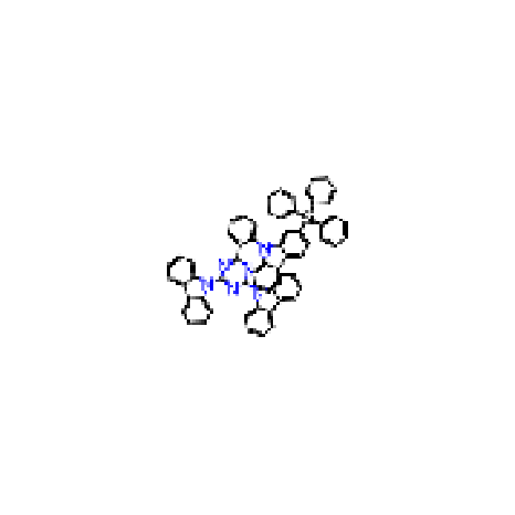 c1ccc([Si](c2ccccc2)(c2ccccc2)c2ccc3c4ccccc4n(-c4ccccc4-c4nc(-n5c6ccccc6c6ccccc65)nc(-n5c6ccccc6c6ccccc65)n4)c3c2)cc1